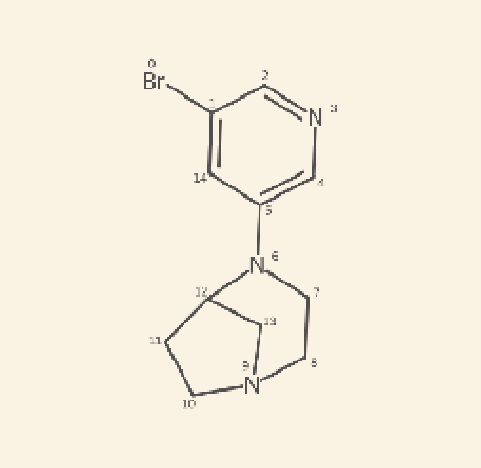 Brc1cncc(N2CCN3CCC2C3)c1